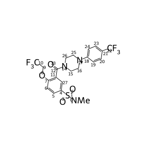 CNS(=O)(=O)c1ccc(OCC(F)(F)F)c(C(=O)N2CCN(c3ccc(C(F)(F)F)cc3)CC2)c1